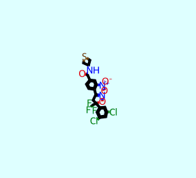 O=C(NC1CSC1)c1ccc(C2=NOC(c3cc(Cl)cc(Cl)c3)(C(F)(F)F)C2)c([N+](=O)[O-])c1